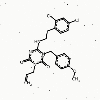 C=CCn1c(=O)nc(NCCc2ccc(Cl)cc2Cl)n(Cc2ccc(OC)cc2)c1=O